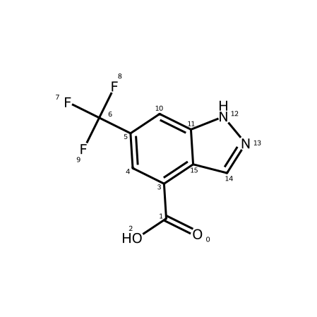 O=C(O)c1cc(C(F)(F)F)cc2[nH]ncc12